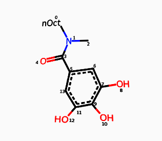 CCCCCCCCN(C)C(=O)c1cc(O)c(O)c(O)c1